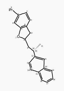 CC(C)c1ccc2c(c1)OC(C[C@H](C)c1cnc3ccccc3c1)C2